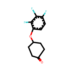 O=C1CCC(Oc2ccc(F)c(F)c2F)CC1